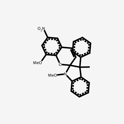 COc1cc([N+](=O)[O-])cc2c1OC1(C=C2)N(OC)c2ccccc2C1(C)c1ccccc1